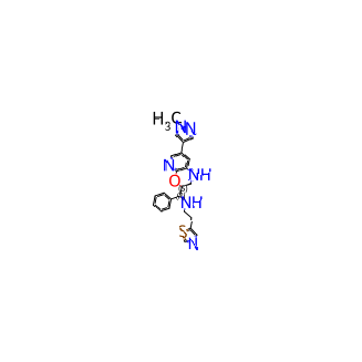 Cn1cc(-c2cnc3c(c2)NC[C@@H]([C@H](NCCc2cncs2)c2ccccc2)O3)cn1